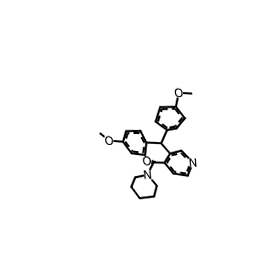 COc1ccc(C(c2ccc(OC)cc2)c2cnccc2C(=O)N2CCCCC2)cc1